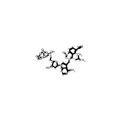 CC(C)C[C@H](OCc1cn([C@H]2C[C@@H](O)[C@@H](COP(=O)(O)OP(=O)(O)OP(=O)(O)O)O2)c2ncnc(N)c12)c1cc(C#N)ccc1[N+](=O)[O-]